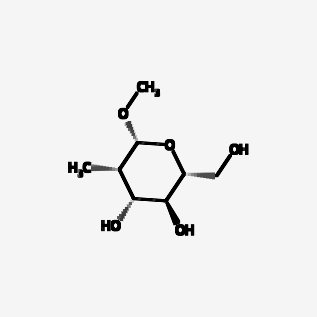 CO[C@@H]1O[C@H](CO)[C@@H](O)[C@H](O)[C@@H]1C